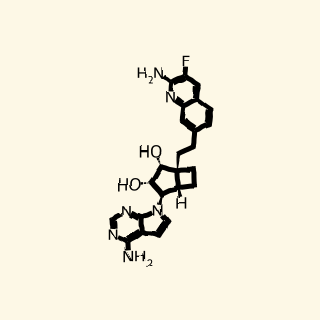 Nc1nc2cc(CC[C@@]34CC[C@@H]3[C@@H](n3ccc5c(N)ncnc53)[C@H](O)[C@@H]4O)ccc2cc1F